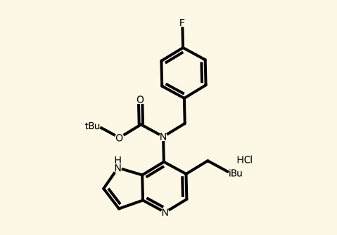 CCC(C)Cc1cnc2cc[nH]c2c1N(Cc1ccc(F)cc1)C(=O)OC(C)(C)C.Cl